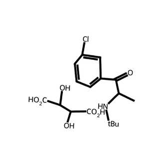 CC(NC(C)(C)C)C(=O)c1cccc(Cl)c1.O=C(O)C(O)C(O)C(=O)O